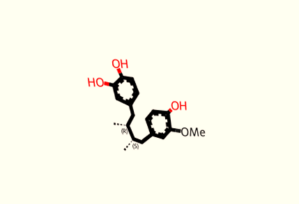 COc1cc(C[C@H](C)[C@H](C)Cc2ccc(O)c(O)c2)ccc1O